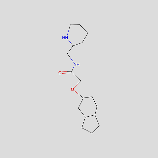 O=C(COC1CCC2CCCC2C1)NCC1CCCCN1